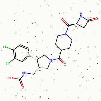 O=C(O)NC[C@H]1CN(C(=O)C2CCN(C(=O)[C@@H]3CC(=O)N3)CC2)C[C@H]1c1ccc(Cl)c(Cl)c1